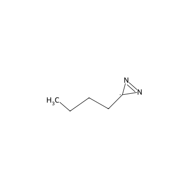 CCCC[C]1N=N1